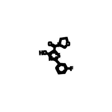 O=C(c1sc(-c2cccc(F)c2)nc1O)N1CCOC1